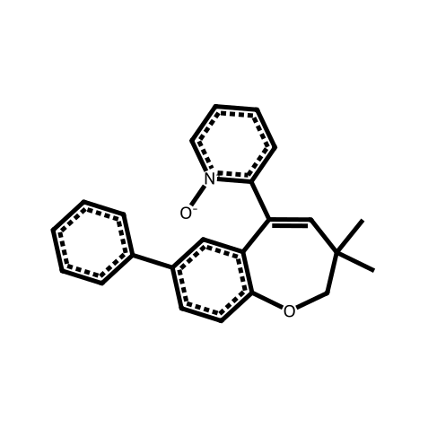 CC1(C)C=C(c2cccc[n+]2[O-])c2cc(-c3ccccc3)ccc2OC1